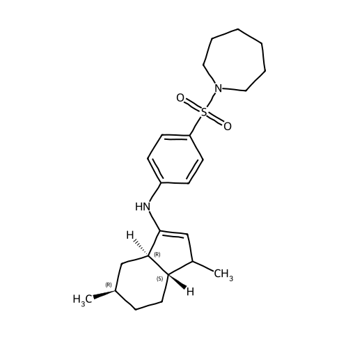 CC1C=C(Nc2ccc(S(=O)(=O)N3CCCCCC3)cc2)[C@@H]2C[C@H](C)CC[C@@H]12